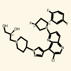 OC[C@@H](O)CN1CCC(n2cc(-c3c(Cl)cnc4ccc(N5C[C@@H](F)C[C@@H]5c5cc(F)ccc5F)nc34)cn2)CC1